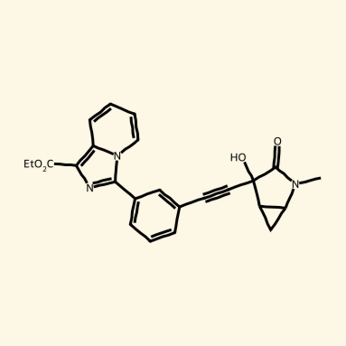 CCOC(=O)c1nc(-c2cccc(C#CC3(O)C(=O)N(C)C4CC43)c2)n2ccccc12